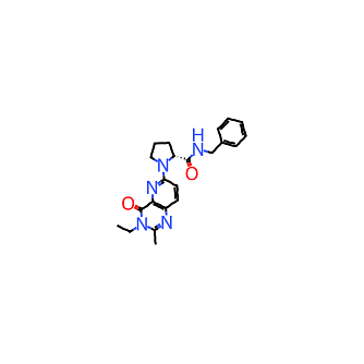 CCn1c(C)nc2ccc(N3CCC[C@@H]3C(=O)NCc3ccccc3)nc2c1=O